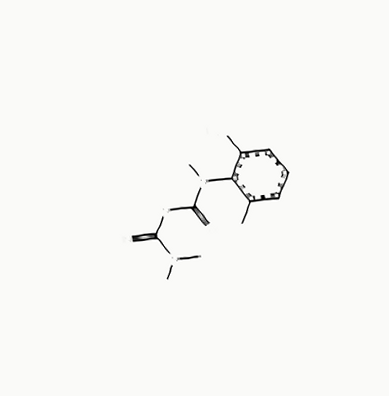 CCN(CC)C(=N)NC(=O)N(C)c1c(C)cccc1Cl